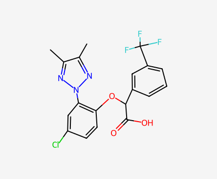 Cc1nn(-c2cc(Cl)ccc2OC(C(=O)O)c2cccc(C(F)(F)F)c2)nc1C